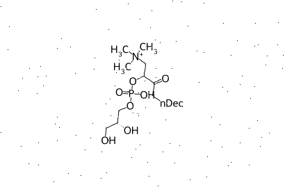 CCCCCCCCCCCC(=O)C(C[N+](C)(C)C)OP(=O)(O)OC[C@H](O)CO